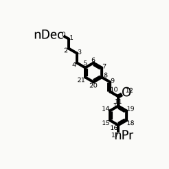 CCCCCCCCCCCCCCc1ccc(C=CC(=O)c2ccc(CCC)cc2)cc1